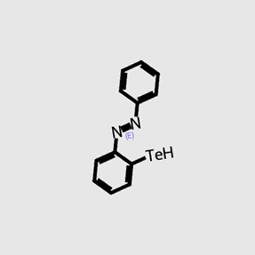 [TeH]c1ccccc1/N=N/c1ccccc1